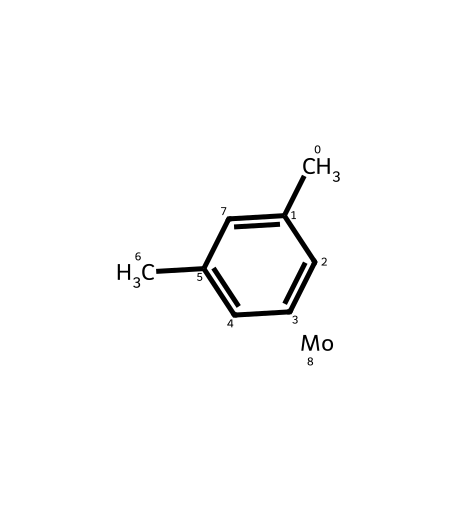 Cc1cccc(C)c1.[Mo]